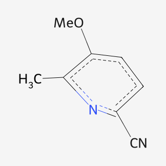 COc1ccc(C#N)nc1C